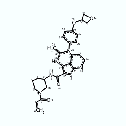 C=CC(=O)N1CCC[C@@H](NC(=O)c2sc3nccc4c3c2[nH]c(=C)n4-c2ccc(OC3COC3)cc2)C1